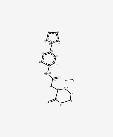 CCN1CCOC(=O)C1CC(=O)Nc1ccc(-n2cccn2)cc1